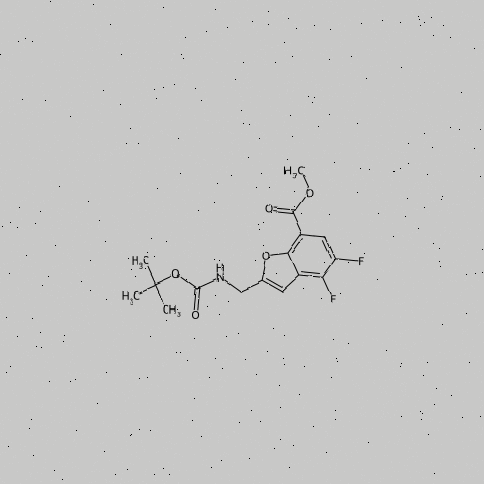 COC(=O)c1cc(F)c(F)c2cc(CNC(=O)OC(C)(C)C)oc12